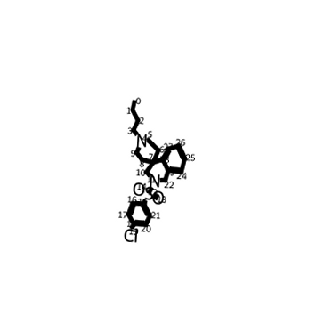 CCCCN1CCC2(CC1)CN(S(=O)(=O)c1ccc(Cl)cc1)Cc1ccccc12